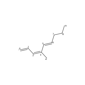 [CH]=CC=C(C)C=CCCC